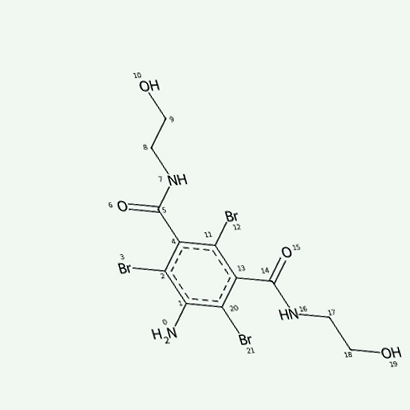 Nc1c(Br)c(C(=O)NCCO)c(Br)c(C(=O)NCCO)c1Br